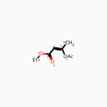 CCOC(=O)/C=C(/C)OC(C)=O